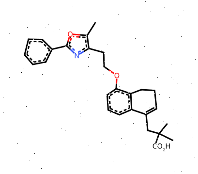 Cc1oc(-c2ccccc2)nc1CCOc1cccc2c1CCC=C2CC(C)(C)C(=O)O